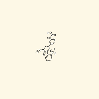 C=C1C=C(c2ccnc(NC(=O)O)c2)C=C(c2ccccc2C(F)(F)F)N1